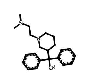 CN(C)CCN1CCCC(C(C#N)(c2ccccc2)c2ccccc2)C1